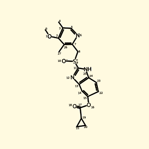 COc1c(C)cnc(C[S+]([O-])c2nc3cc(OC(=O)C4CC4)ccc3[nH]2)c1C